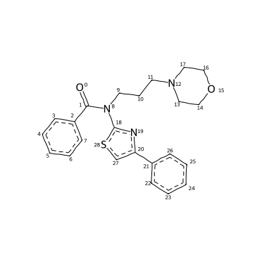 O=C(c1ccccc1)N(CCCN1CCOCC1)c1nc(-c2ccccc2)cs1